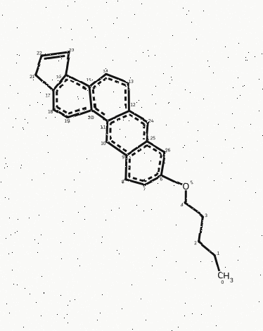 CCCCCOc1ccc2cc3c(ccc4c5c(ccc43)CC=C5)cc2c1